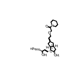 CCCCC[C@H](O)C=C[C@@H]1[C@H]2CC(=CCOCC(=O)N3CCCCC3)C[C@H]2C[C@H]1O